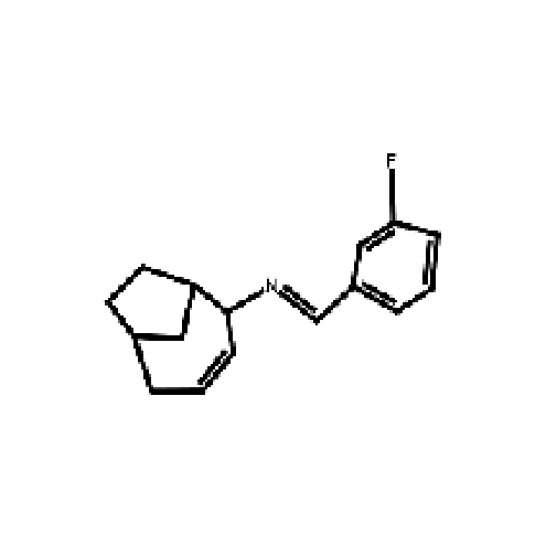 Fc1cccc(/C=N/C2C=CCC3CCC2C3)c1